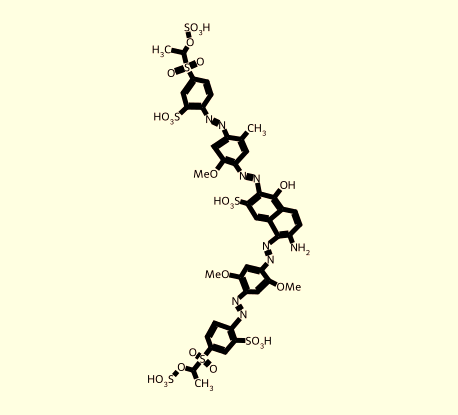 COc1cc(N=Nc2c(N)ccc3c(O)c(N=Nc4cc(C)c(N=Nc5ccc(S(=O)(=O)C(C)OS(=O)(=O)O)cc5S(=O)(=O)O)cc4OC)c(S(=O)(=O)O)cc23)c(OC)cc1N=Nc1ccc(S(=O)(=O)C(C)OS(=O)(=O)O)cc1S(=O)(=O)O